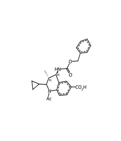 CC(=O)N1c2ccc(C(=O)O)cc2[C@H](NC(=O)OCc2ccccc2)[C@@H](C)C1C1CC1